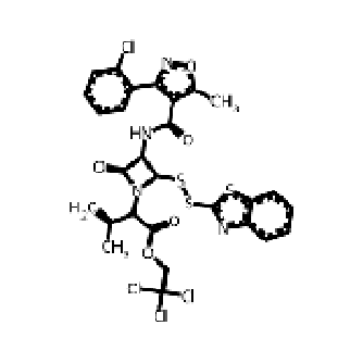 C=C(C)C(C(=O)OCC(Cl)(Cl)Cl)N1C(=O)C(NC(=O)c2c(-c3ccccc3Cl)noc2C)C1SSc1nc2ccccc2s1